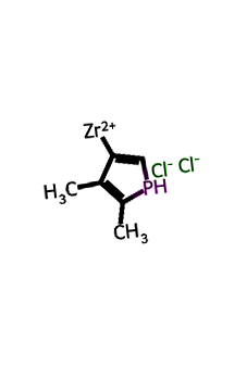 Cc1[pH]c[c]([Zr+2])c1C.[Cl-].[Cl-]